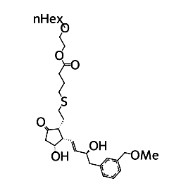 CCCCCCOCCOC(=O)CCCSCC[C@H]1C(=O)C[C@@H](O)[C@H]1/C=C/[C@@H](O)Cc1cccc(COC)c1